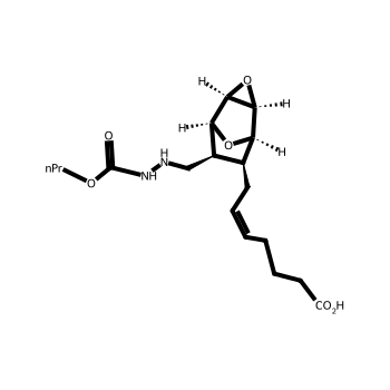 CCCOC(=O)NNC[C@@H]1[C@H](C/C=C\CCCC(=O)O)[C@H]2O[C@@H]1[C@H]1O[C@H]12